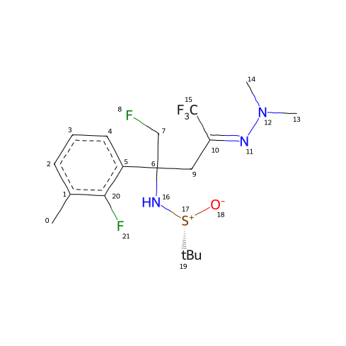 Cc1cccc(C(CF)(CC(=NN(C)C)C(F)(F)F)N[S@+]([O-])C(C)(C)C)c1F